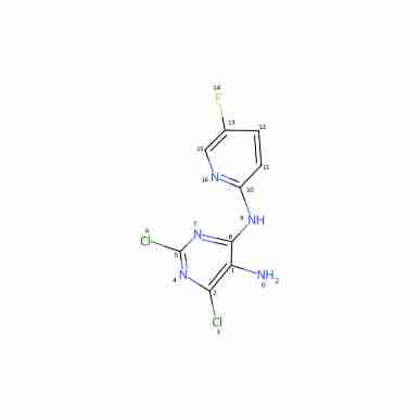 Nc1c(Cl)nc(Cl)nc1Nc1ccc(F)cn1